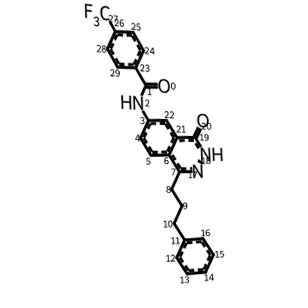 O=C(Nc1ccc2c(CCCc3ccccc3)n[nH]c(=O)c2c1)c1ccc(C(F)(F)F)cc1